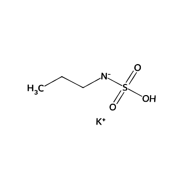 CCC[N-]S(=O)(=O)O.[K+]